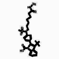 CC(C)(C)c1c(-c2ccc(N(CCCCCCC(=O)NO)S(C)(=O)=O)cc2)n(C(=O)O)c2ccccc12